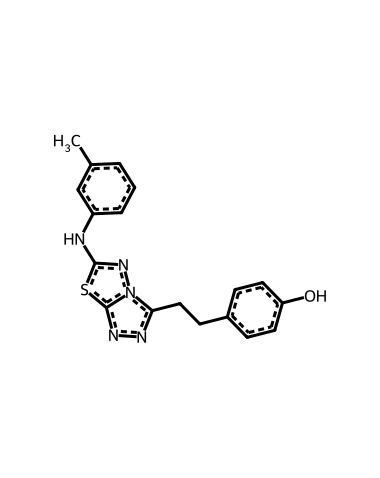 Cc1cccc(Nc2nn3c(CCc4ccc(O)cc4)nnc3s2)c1